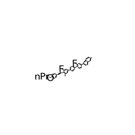 CCCOc1ccc(C#Cc2c(C)cc(-c3ccc(-c4ccc(-c5ccc6cc(C)ccc6c5)cc4F)cc3)cc2F)cc1